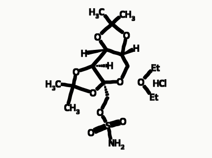 CC1(C)O[C@@H]2[C@@H](CO[C@@]3(COS(N)(=O)=O)OC(C)(C)O[C@@H]23)O1.CCOCC.Cl